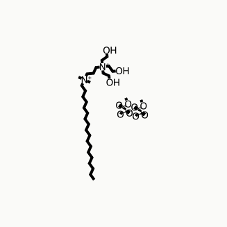 CCCCCCCCCCCCCCCCCC[N+](C)(C)CCC[N+](CCO)(CCO)CCO.COS(=O)(=O)[O-].COS(=O)(=O)[O-]